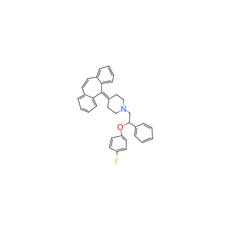 Fc1ccc(OC(CN2CCC(=C3c4ccccc4C=Cc4ccccc43)CC2)c2ccccc2)cc1